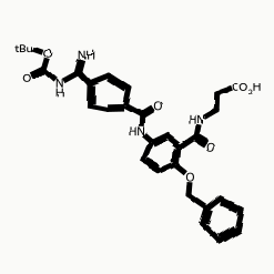 CC(C)(C)OC(=O)NC(=N)c1ccc(C(=O)Nc2ccc(OCc3ccccc3)c(C(=O)NCCC(=O)O)c2)cc1